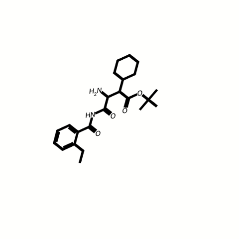 CCc1ccccc1C(=O)NC(=O)C(N)C(C(=O)OC(C)(C)C)C1CCCCC1